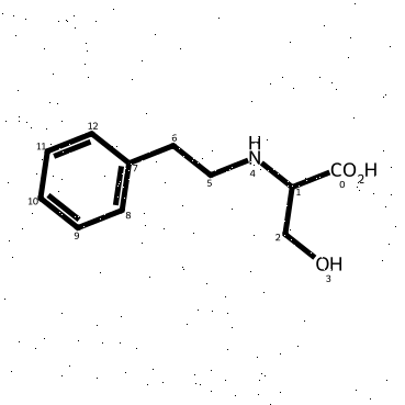 O=C(O)C(CO)NCCc1ccccc1